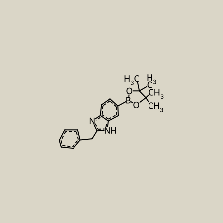 CC1(C)OB(c2ccc3nc(Cc4ccccc4)[nH]c3c2)OC1(C)C